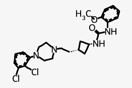 COc1ccccc1NC(=O)N[C@H]1C[C@@H](CCN2CCN(c3cccc(Cl)c3Cl)CC2)C1